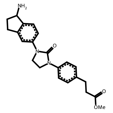 COC(=O)CCc1ccc(N2CCN(c3ccc4c(c3)CCC4N)C2=O)cc1